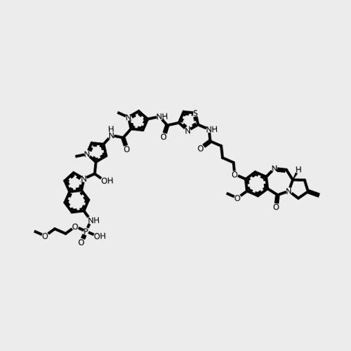 C=C1C[C@H]2C=Nc3cc(OCCCC(=O)Nc4nc(C(=O)Nc5cc(C(=O)Nc6cc(C(O)n7ccc8ccc(NP(=O)(O)OCCOC)cc87)n(C)c6)n(C)c5)cs4)c(OC)cc3C(=O)N2C1